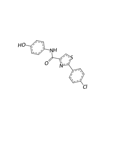 O=C(Nc1ccc(O)cc1)c1csc(-c2ccc(Cl)cc2)n1